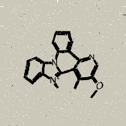 COc1cnc2c3ccccc3n3c4ccccc4[n+](C)c3c2c1C